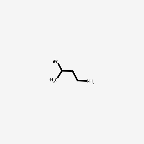 [CH2]C(CCN)C(C)C